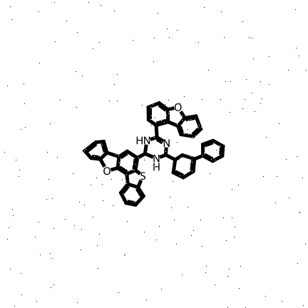 C1=CC(C2N=C(c3cccc4oc5ccccc5c34)NC(c3cc4c5ccccc5oc4c4c3sc3ccccc34)N2)CC(c2ccccc2)=C1